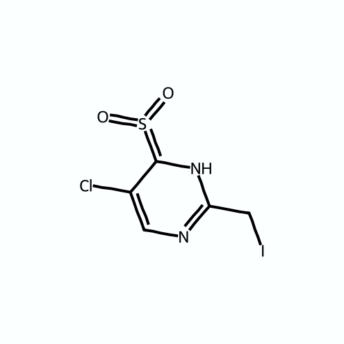 O=S(=O)=c1[nH]c(CI)ncc1Cl